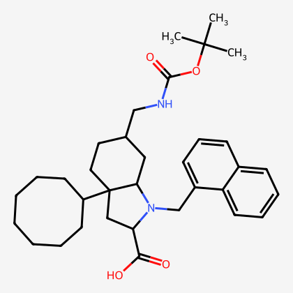 CC(C)(C)OC(=O)NCC1CCC2(C3CCCCCCC3)CC(C(=O)O)N(Cc3cccc4ccccc34)C2C1